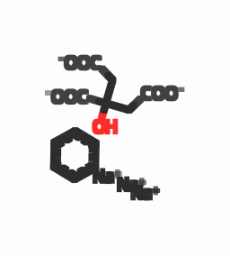 O=C([O-])CC(O)(CC(=O)[O-])C(=O)[O-].[Na+].[Na+].[Na+].c1ccccc1